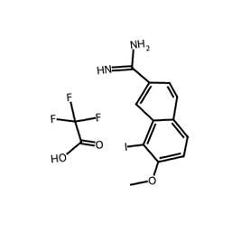 COc1ccc2ccc(C(=N)N)cc2c1I.O=C(O)C(F)(F)F